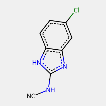 N#CNc1nc2cc(Cl)ccc2[nH]1